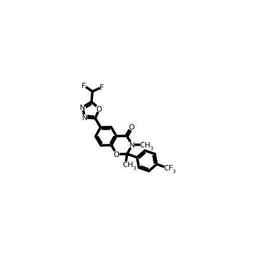 CN1C(=O)c2cc(-c3nnc(C(F)F)o3)ccc2OC1(C)c1ccc(C(F)(F)F)cc1